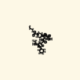 CCCCOC(=O)N1CCN(C(=O)[C@H](CP(=O)(O)O)NC(=O)c2cc(NCC)nc(-c3ccccc3)n2)CC1